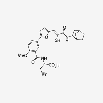 COc1ccc(-c2ccc(/C=C(\S)C(=O)NC3CC4CCC3C4)o2)cc1C(=O)NC(CC(C)C)C(=O)O